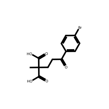 CC(CCC(=O)c1ccc(Br)cc1)(C(=O)O)C(=O)O